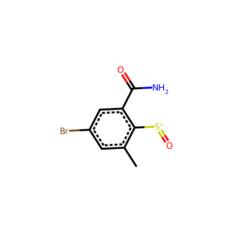 Cc1cc(Br)cc(C(N)=O)c1[S+]=O